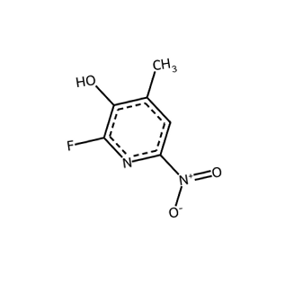 Cc1cc([N+](=O)[O-])nc(F)c1O